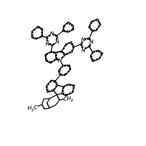 CC1CC2CC(C)C3(c4ccccc4-c4c(-c5cccc(-n6c7cc(-c8nc(-c9ccccc9)nc(-c9ccccc9)n8)ccc7c7c(-c8nc(-c9ccccc9)nc(-c9ccccc9)n8)cccc76)c5)cccc43)C(C1)C2